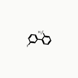 Cc1ccccc1-c1cc[c]c(F)c1